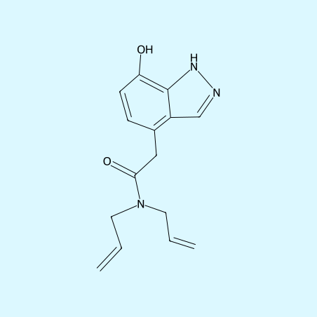 C=CCN(CC=C)C(=O)Cc1ccc(O)c2[nH]ncc12